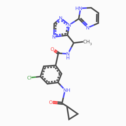 CC(NC(=O)c1cc(Cl)cc(NC(=O)C2CC2)c1)c1ncnn1C1=NC=CCN1